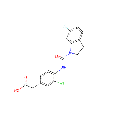 O=C(O)Cc1ccc(NC(=O)N2CCc3ccc(F)cc32)c(Cl)c1